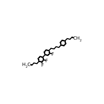 C=CCCc1ccc(CCCCc2ccc(-c3ccc(CCC=C)c(F)c3F)cc2F)cc1